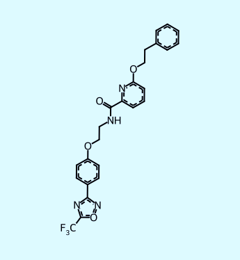 O=C(NCCOc1ccc(-c2noc(C(F)(F)F)n2)cc1)c1cccc(OCCc2ccccc2)n1